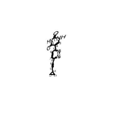 O=c1[nH]cc(-c2ccc(C#CC3CC3)nn2)c(=O)[nH]1